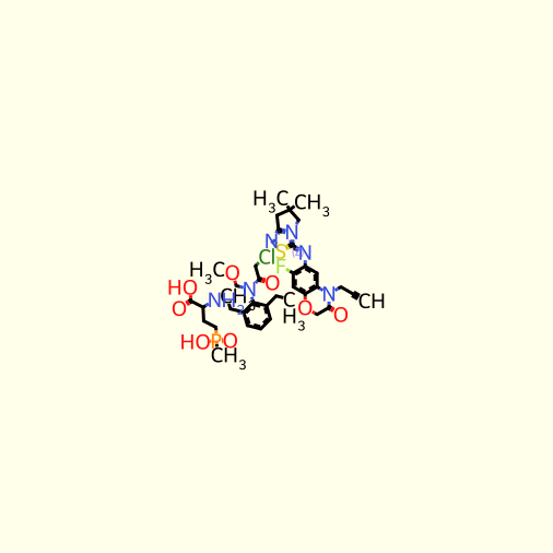 C#CCN1C(=O)COc2cc(F)c(/N=c3\snc4n3CC(C)(C)C4)cc21.CCc1cccc(CC)c1N(COC)C(=O)CCl.CP(=O)(O)CCC(N)C(=O)O